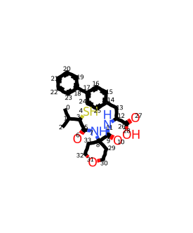 CC(C)C(S)C(=O)NC1(C(=O)NC(Cc2ccc(-c3ccccc3)cc2)C(=O)O)CCOCC1